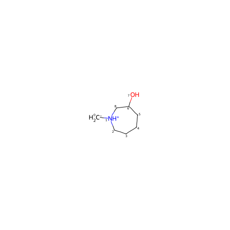 [CH2-][NH+]1CCCCC(O)C1